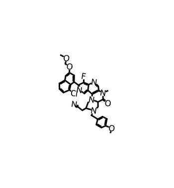 COCOc1cc(-c2ncc3c4c(cnc3c2F)N(C)C(=O)C2CN(Cc3ccc(OC)cc3)C(CC#N)CN42)c2c(Cl)cccc2c1